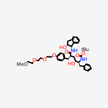 COCCOCCOCCOc1ccc(C[C@H](C[C@H](O)[C@H](Cc2ccccc2)NC(=O)OC(C)(C)C)C(=O)N[C@H]2c3ccccc3C[C@H]2O)cc1